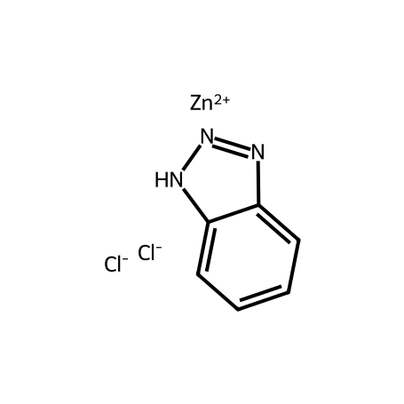 [Cl-].[Cl-].[Zn+2].c1ccc2[nH]nnc2c1